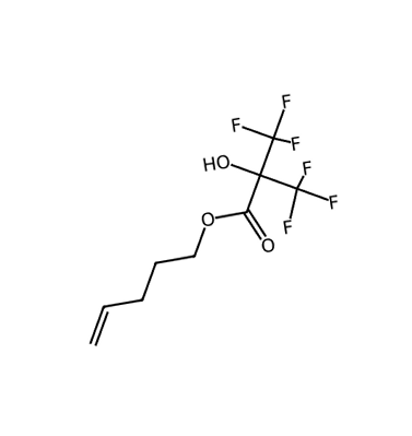 C=CCCCOC(=O)C(O)(C(F)(F)F)C(F)(F)F